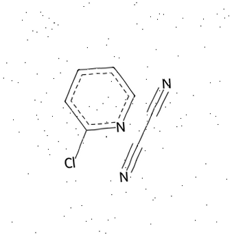 Clc1ccccn1.N#CC#N